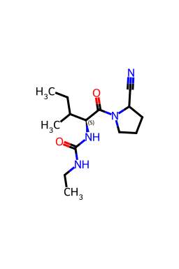 CCNC(=O)N[C@H](C(=O)N1CCCC1C#N)C(C)CC